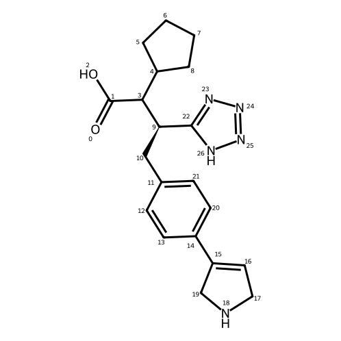 O=C(O)C(C1CCCC1)[C@H](Cc1ccc(C2=CCNC2)cc1)c1nnn[nH]1